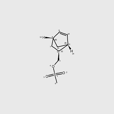 CS(=O)(=O)OC[C@H]1C[C@@H]2C=C[C@H]1C2